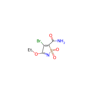 CCOC1=NS(=O)(=O)C(C(N)=O)=C1Br